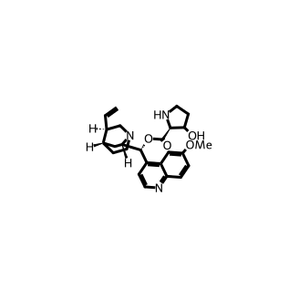 C=C[C@H]1CN2CC[C@H]1C[C@H]2[C@H](OC(=O)[C@H]1NCCC1O)c1ccnc2ccc(OC)cc12